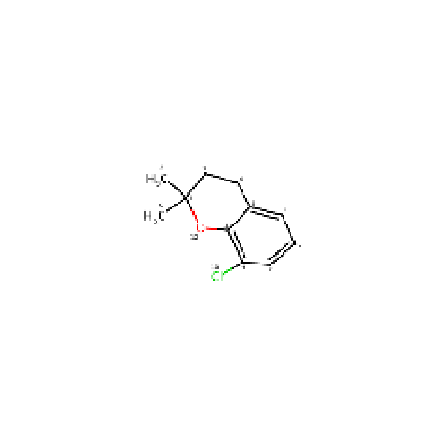 CC1(C)C[C]c2cccc(Cl)c2O1